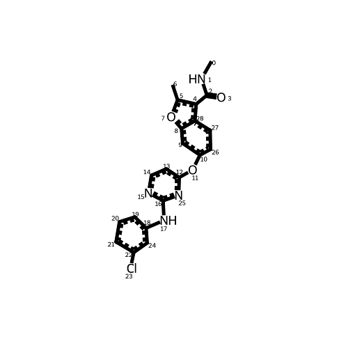 CNC(=O)c1c(C)oc2cc(Oc3ccnc(Nc4cccc(Cl)c4)n3)ccc12